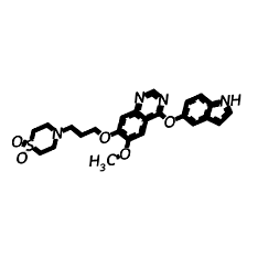 COc1cc2c(Oc3ccc4[nH]ccc4c3)ncnc2cc1OCCCN1CCS(=O)(=O)CC1